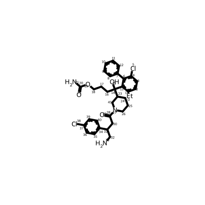 CCc1ccc(Cl)c(-c2ccccc2)c1C(O)(CCCOC(N)=O)C1CCCN(C(=O)CC(CN)c2ccc(Cl)cc2)C1